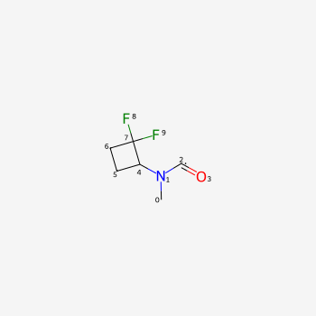 CN([C]=O)C1CCC1(F)F